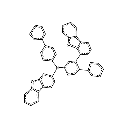 c1ccc(-c2ccc(N(c3ccc(-c4ccccc4)c(-c4cccc5c4sc4ccccc45)c3)c3ccc4c(c3)oc3ccccc34)cc2)cc1